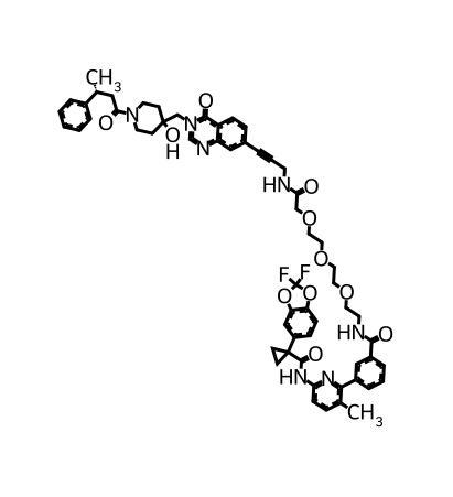 Cc1ccc(NC(=O)C2(c3ccc4c(c3)OC(F)(F)O4)CC2)nc1-c1cccc(C(=O)NCCOCCOCCOCC(=O)NCC#Cc2ccc3c(=O)n(CC4(O)CCN(C(=O)C[C@@H](C)c5ccccc5)CC4)cnc3c2)c1